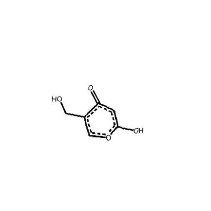 O=c1cc(O)occ1CO